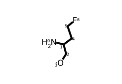 NC(C[O])CCF